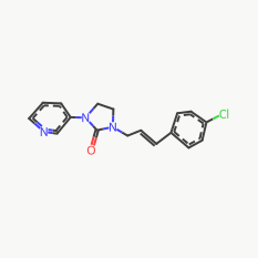 O=C1N(C/C=C/c2ccc(Cl)cc2)CCN1c1cccnc1